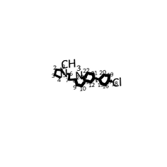 CC1CCCN1CCc1ccc2cc(-c3ccc(Cl)cc3)ccc2n1